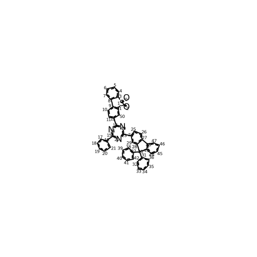 O=S1(=O)c2ccccc2-c2ccc(-c3nc(-c4ccccc4)nc(-c4ccc5c(c4)C(c4ccccc4)(c4ccccc4)c4ccccc4-5)n3)cc21